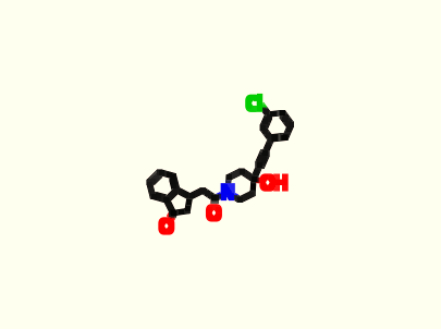 O=C1CC(CC(=O)N2CCC(O)(C#Cc3cccc(Cl)c3)CC2)c2ccccc21